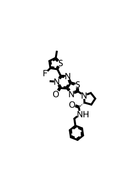 Cc1cc(F)c(-c2nc3sc(N4CCC[C@@H]4C(=O)NCc4ccccc4)nc3c(=O)n2C)s1